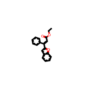 CCOC(=O)C=C(c1ccccc1)c1cc2ccccc2o1